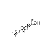 Cc1ncc(/C=C/c2nc3ccc(OCC(CO)CF)cc3o2)s1